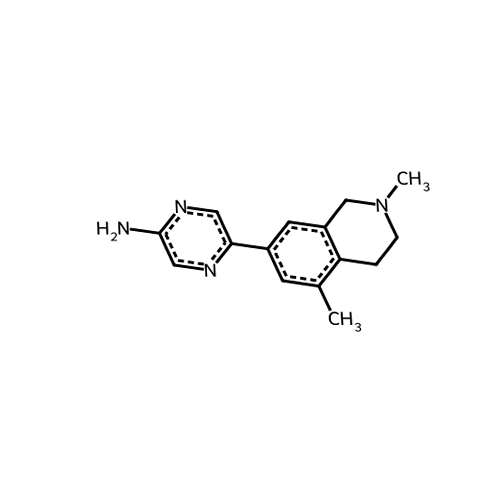 Cc1cc(-c2cnc(N)cn2)cc2c1CCN(C)C2